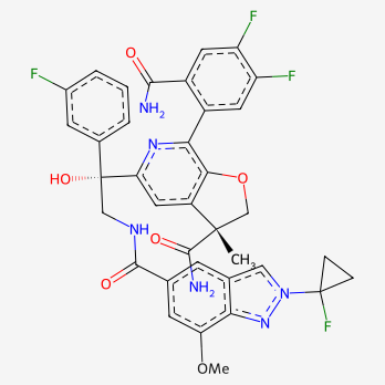 COc1cc(C(=O)NC[C@@](O)(c2cccc(F)c2)c2cc3c(c(-c4cc(F)c(F)cc4C(N)=O)n2)OC[C@]3(C)C(N)=O)cc2cn(C3(F)CC3)nc12